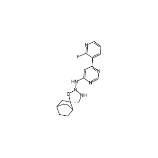 Fc1ncccc1-c1cc(NN2NC[C@]3(CC4CCC3CC4)O2)ncn1